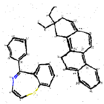 C1=CSc2ccccc2C(c2ccccc2)=N1.CCC1(CC)CC=c2ccc3c(c2C1)CC=c1ccccc1=3